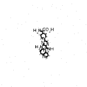 N=C(c1ncc(N2CCC([C@@H](N)C(=O)O)CC2)nc1N)N1CCCc2ncccc21